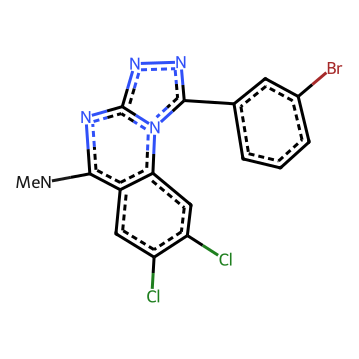 CNc1nc2nnc(-c3cccc(Br)c3)n2c2cc(Cl)c(Cl)cc12